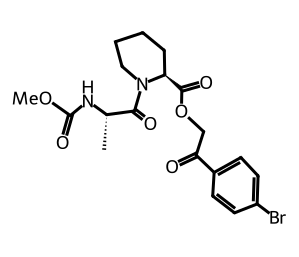 COC(=O)N[C@@H](C)C(=O)N1CCCC[C@H]1C(=O)OCC(=O)c1ccc(Br)cc1